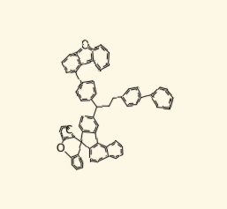 c1ccc(-c2ccc(CCC(c3ccc(-c4cccc5oc6ccccc6c45)cc3)c3ccc4c(c3)-c3c(ccc5ccccc35)C43c4ccccc4Oc4ccccc43)cc2)cc1